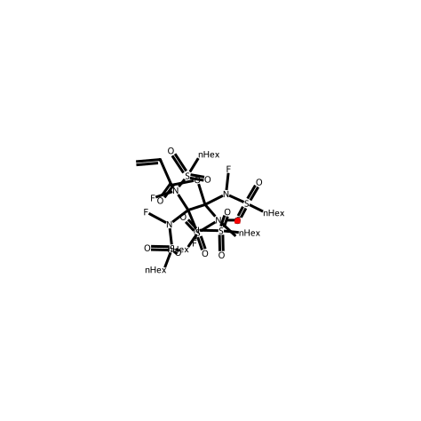 C=CC(=O)OC(N(F)S(=O)(=O)CCCCCC)(C(N(F)S(=O)(=O)CCCCCC)(N(F)S(=O)(=O)CCCCCC)N(F)S(=O)(=O)CCCCCC)[N+](C)(F)S(=O)(=O)CCCCCC